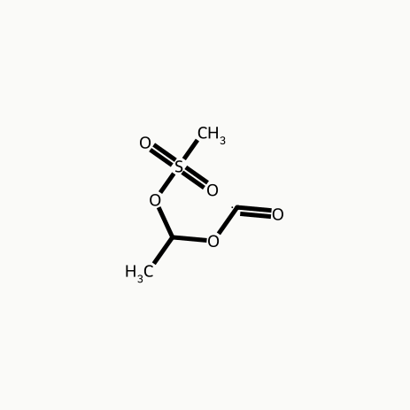 CC(O[C]=O)OS(C)(=O)=O